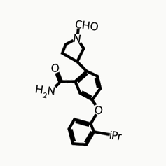 CC(C)c1ccccc1Oc1ccc(C2CCN(C=O)C2)c(C(N)=O)c1